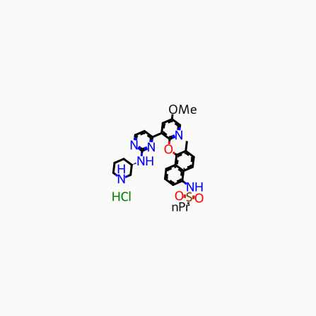 CCCS(=O)(=O)Nc1cccc2c(Oc3ncc(OC)cc3-c3ccnc(N[C@H]4CCCNC4)n3)c(C)ccc12.Cl